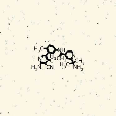 C=C(Nc1ccc(C)c(-c2cnc(N)c(C#N)c2C)c1)c1ccnc(C(C)(C)N)c1